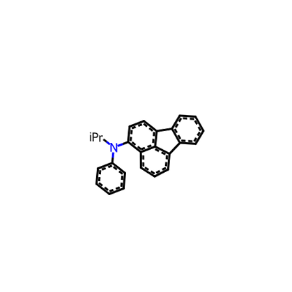 CC(C)N(c1ccccc1)c1ccc2c3c(cccc13)-c1ccccc1-2